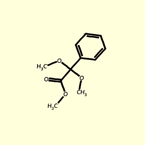 COC(=O)C(OC)(OC)c1c[c]ccc1